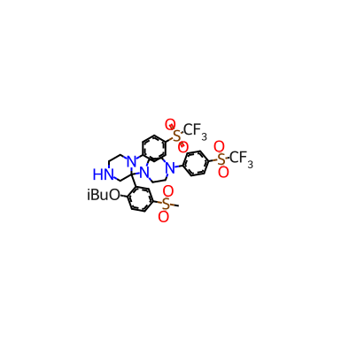 CC(C)COc1ccc(S(C)(=O)=O)cc1C1(N2CCN(c3ccc(S(=O)(=O)C(F)(F)F)cc3)CC2)CNCCN1c1ccc(S(=O)(=O)C(F)(F)F)cc1